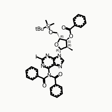 C[C@@H]1[C@H](OC(=O)c2ccccc2)[C@@H](CO[Si](C)(C)C(C)(C)C)O[C@H]1n1cnc2c(N(C(=O)c3ccccc3)C(=O)c3ccccc3)nc(I)nc21